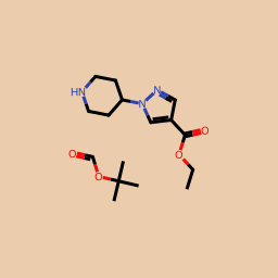 CC(C)(C)OC=O.CCOC(=O)c1cnn(C2CCNCC2)c1